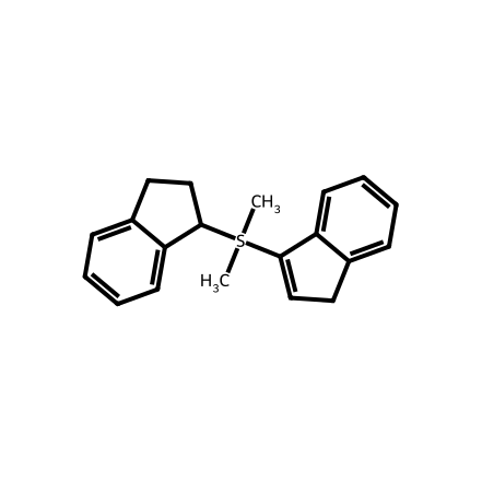 CS(C)(C1=CCc2ccccc21)C1CCc2ccccc21